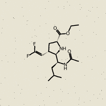 CCOC(=O)[C@H]1C[C@@H](C=C(F)F)[C@H]([C@H](CC(C)C)NC(C)=O)N1